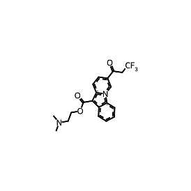 CN(C)CCOC(=O)c1c2ccccc2n2cc(C(=O)CC(F)(F)F)ccc12